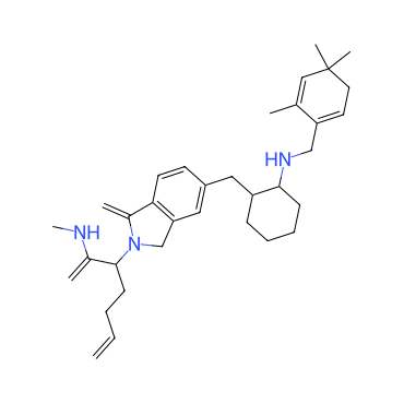 C=CCCC(C(=C)NC)N1Cc2cc(CC3CCCCC3NCC3=CCC(C)(C)C=C3C)ccc2C1=C